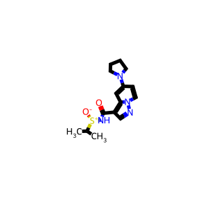 CC(C)[S+]([O-])NC(=O)c1cnn2ccc(N3CCCC3)cc12